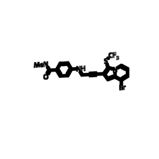 CNC(=O)c1ccc(NCC#Cc2cc3c(Br)cccn3c2SC(F)(F)F)cc1